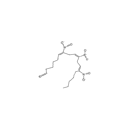 CCCCC/C(=C\C/C(=C\C/C(=C\CCCC[C]=O)[N+](=O)[O-])[N+](=O)[O-])[N+](=O)[O-]